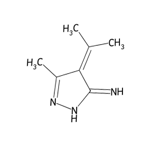 CC1=NNC(=N)C1=C(C)C